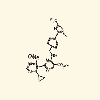 CCOC(=O)c1cnc(-c2c(OC)ncnc2C2CC2)nc1NCc1ccc(-c2nc(C(F)(F)F)cn2C)cc1